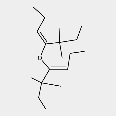 CCC=C(OC(=CCC)C(C)(C)CC)C(C)(C)CC